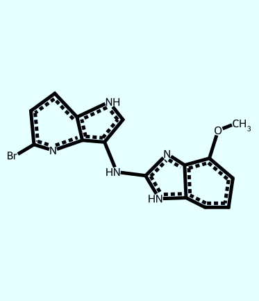 COc1cccc2[nH]c(Nc3c[nH]c4ccc(Br)nc34)nc12